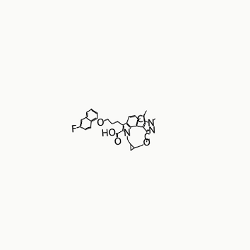 CCc1c2c(nn1C)COCC1CC1Cn1c(C(=O)O)c(CCCOc3cccc4cc(F)ccc34)c3ccc(Cl)c-2c31